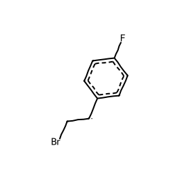 Fc1ccc([CH]CBr)cc1